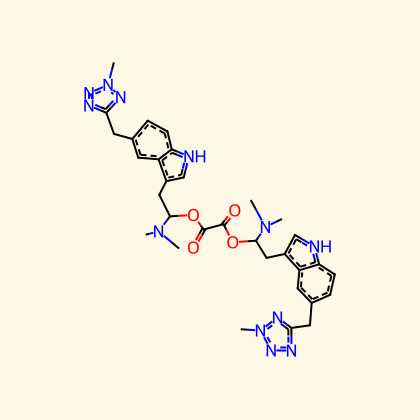 CN(C)C(Cc1c[nH]c2ccc(Cc3nnn(C)n3)cc12)OC(=O)C(=O)OC(Cc1c[nH]c2ccc(Cc3nnn(C)n3)cc12)N(C)C